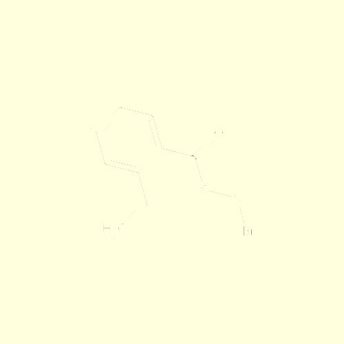 C=Cc1ccccc1C(=O)SSBr